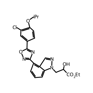 CCOC(=O)C(O)Cn1ncc2c(-c3noc(-c4ccc(OC(C)C)c(Cl)c4)n3)cccc21